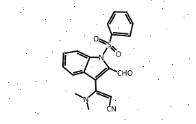 CN(C)C(=CC#N)c1c(C=O)n(S(=O)(=O)c2ccccc2)c2ccccc12